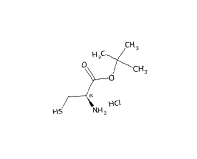 CC(C)(C)OC(=O)[C@@H](N)CS.Cl